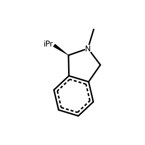 CC(C)[C@@H]1c2ccccc2CN1C